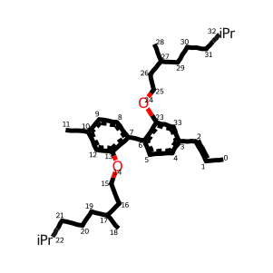 CC=Cc1ccc(-c2ccc(C)cc2OCCC(C)CCCC(C)C)c(OCCC(C)CCCC(C)C)c1